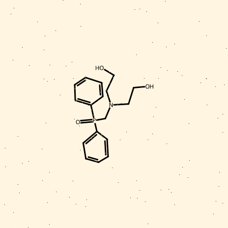 O=P(CN(CCO)CCO)(c1ccccc1)c1ccccc1